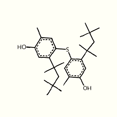 Cc1cc(Sc2cc(C)c(O)cc2C(C)(C)CC(C)(C)C)c(C(C)(C)CC(C)(C)C)cc1O